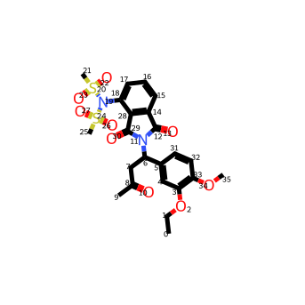 CCOc1cc(C(CC(C)=O)N2C(=O)c3cccc(N(S(C)(=O)=O)S(C)(=O)=O)c3C2=O)ccc1OC